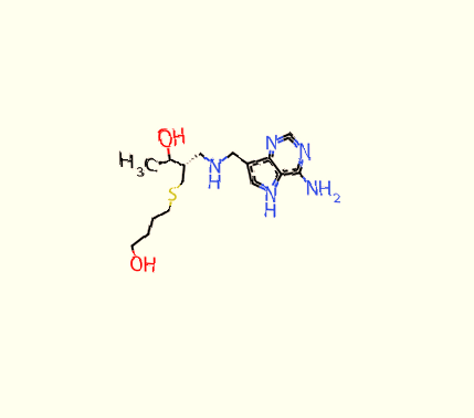 C[C@@H](O)[C@H](CNCc1c[nH]c2c(N)ncnc12)CSCCCCO